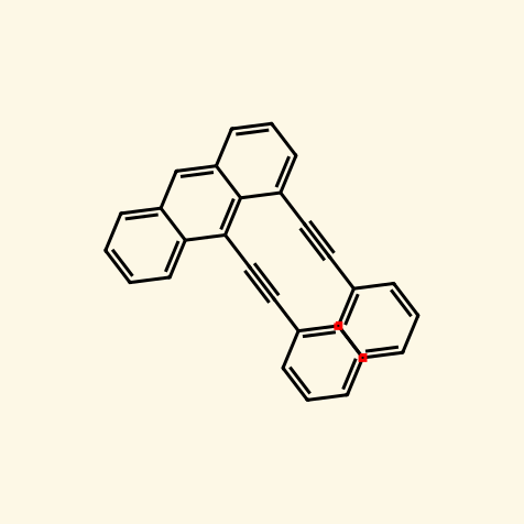 C(#Cc1cccc2cc3ccccc3c(C#Cc3ccccc3)c12)c1ccccc1